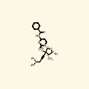 CC[C@H]1O[C@@H](n2ccc(NC(=O)c3ccccc3)nc2=O)C(O)(C#CCN(C(C)C)C(C)C)[C@H]1C